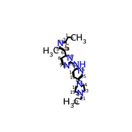 CCc1nc(C)c(-c2ccnc(Nc3ccc(N4CCN(CC)CC4)cn3)n2)s1